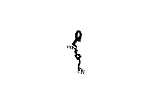 N#CCCc1ccc(CCNCCc2ccccc2)cc1